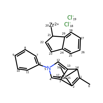 CC1=C2c3cn(-c4ccccc4)cc3C1[Si]2(C)C.[Cl-].[Cl-].[Zr+2][CH]1C=Cc2ccccc21